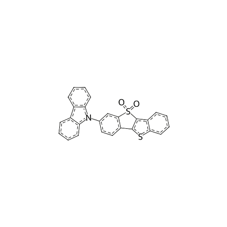 O=S1(=O)c2cc(-n3c4ccccc4c4ccccc43)ccc2-c2sc3ccccc3c21